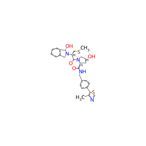 CSC[C@@H](C(=O)N1C[C@H](O)C[C@H]1C(=O)NCc1ccc(-c2scnc2C)cc1)N1Cc2ccccc2C1O